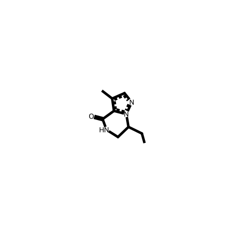 CCC1CNC(=O)c2c(C)cnn21